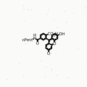 CCCCCNC(=O)c1ccc(C(=O)O)c(-c2c3ccc(=O)cc-3oc3cc(O)ccc23)c1